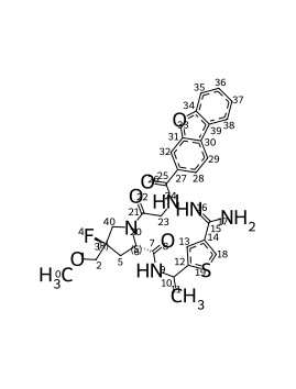 COC[C@@]1(F)C[C@@H](C(=O)NC(C)c2cc(C(=N)N)cs2)N(C(=O)CNC(=O)c2ccc3c(c2)oc2ccccc23)C1